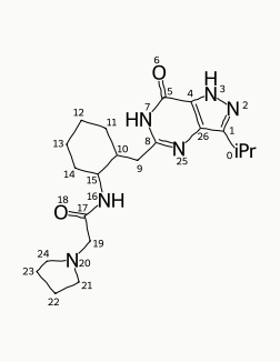 CC(C)c1n[nH]c2c(=O)[nH]c(CC3CCCCC3NC(=O)CN3CCCC3)nc12